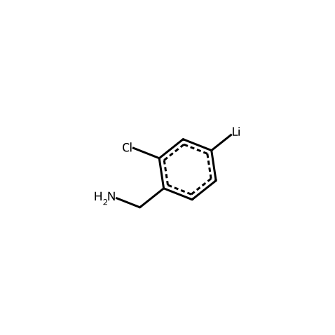 [Li][c]1ccc(CN)c(Cl)c1